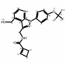 O=C(NCc1nn(-c2ccc(OC(F)(F)F)cc2)c2nccc(CO)c12)C1=CCC1